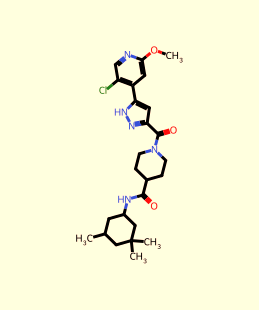 COc1cc(-c2cc(C(=O)N3CCC(C(=O)NC4CC(C)CC(C)(C)C4)CC3)n[nH]2)c(Cl)cn1